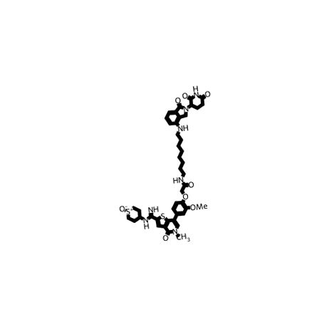 COc1cc(-c2cn(C)c(=O)c3cc(C(=N)NC4CC[S+]([O-])CC4)sc23)ccc1OCC(=O)NCCCCCCCCNc1cccc2c1CN(C1CCC(=O)NC1=O)C2=O